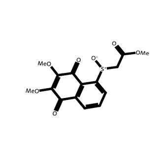 COC(=O)C[S+]([O-])c1cccc2c1C(=O)C(OC)=C(OC)C2=O